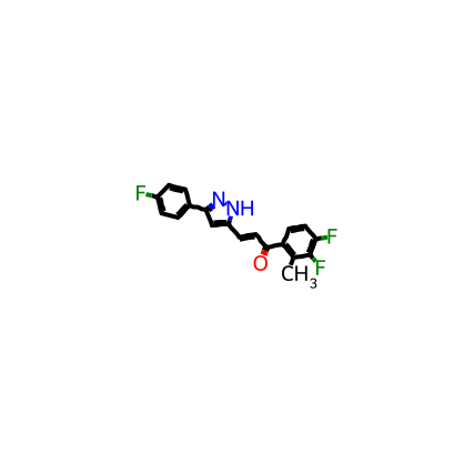 Cc1c(C(=O)/C=C/c2cc(-c3ccc(F)cc3)n[nH]2)ccc(F)c1F